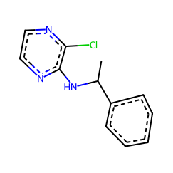 CC(Nc1nccnc1Cl)c1ccccc1